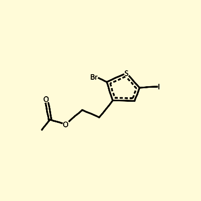 CC(=O)OCCc1cc(I)sc1Br